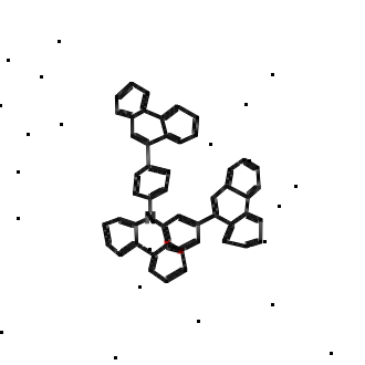 c1ccc(-c2ccccc2N(c2ccc(-c3cc4ccccc4c4ccccc34)cc2)c2cccc(-c3cc4ccccc4c4ccccc34)c2)cc1